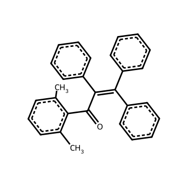 Cc1cccc(C)c1C(=O)C(=C(c1ccccc1)c1ccccc1)c1ccccc1